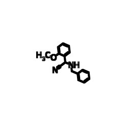 COc1ccccc1C(C#N)NCc1ccccc1